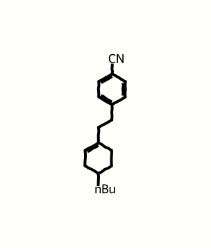 CCCCC1CC=C(CCc2ccc(C#N)cc2)CC1